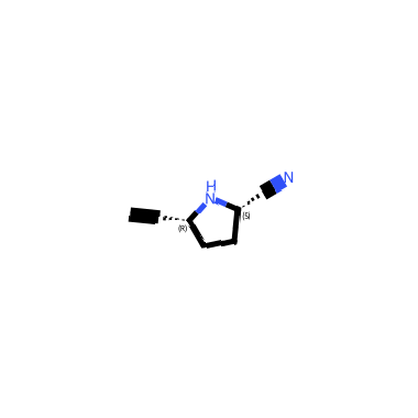 C#C[C@H]1CC[C@@H](C#N)N1